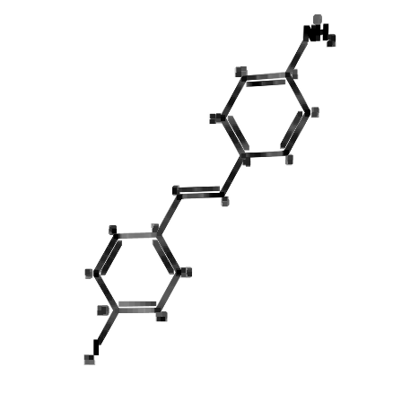 Nc1ccc(C=Cc2ccc(I)cc2)cc1